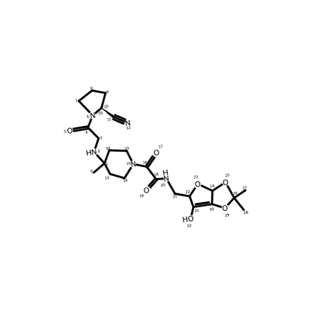 CC1(NCC(=O)N2CCC[C@H]2C#N)CCN(C(=O)C(=O)NCC2OC3OC(C)(C)OC3=C2O)CC1